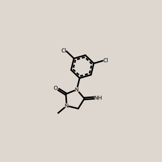 CN1CC(=N)N(c2cc(Cl)cc(Cl)c2)C1=O